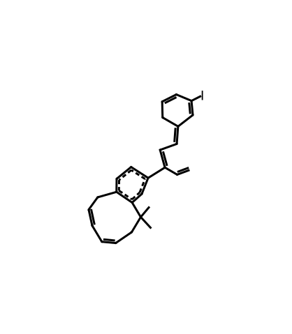 C=C/C(=C\C=C1\C=C(I)C=CC1)c1ccc2c(c1)C(C)(C)C/C=C\C=C/C2